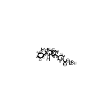 CC(Nc1cc(C2CCN(C(=O)OC(C)(C)C)CC2)ncc1N)c1ccccc1